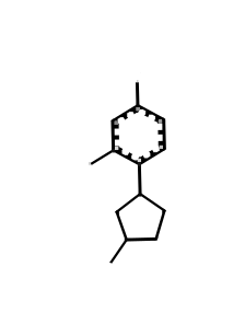 CC1CCC(c2ccc(Cl)cc2Cl)C1